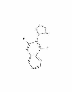 Fc1cc2ccccc2c(F)c1C1CCCN1